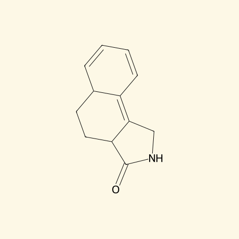 O=C1NCC2=C3C=CC=CC3CCC12